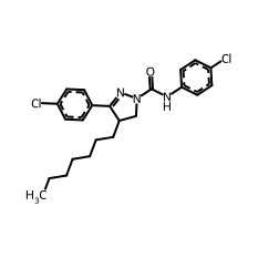 CCCCCCCC1CN(C(=O)Nc2ccc(Cl)cc2)N=C1c1ccc(Cl)cc1